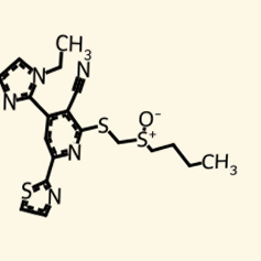 CCCC[S+]([O-])CSc1nc(-c2nccs2)cc(-c2nccn2CC)c1C#N